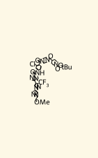 COCCn1cc(-n2cc(-c3cnc(C(=O)Nc4ccc(C(=O)N5CCN(C(=O)C6CCN(C(=O)OC(C)(C)C)CC6)CC5)c(Cl)c4)n3C)c(C(F)(F)F)n2)cn1